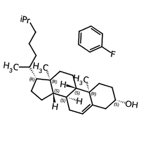 CC(C)CCCC(C)[C@H]1CC[C@H]2[C@@H]3CC=C4C[C@@H](O)CC[C@]4(C)[C@H]3CC[C@]12C.Fc1ccccc1